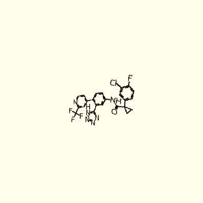 O=C(Nc1ccc(-c2ccnc(C(F)(F)F)c2)c(-c2nnn[nH]2)c1)C1(c2ccc(F)c(Cl)c2)CC1